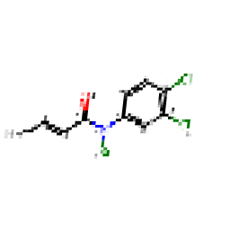 CC=CC(=O)N(Br)c1ccc(Cl)c(Cl)c1